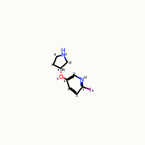 Ic1ccc(O[C@@H]2CCNC2)cn1